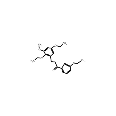 CCOc1cccc(C(=O)CCc2cc(OCC)cc(OC)c2OCC)c1